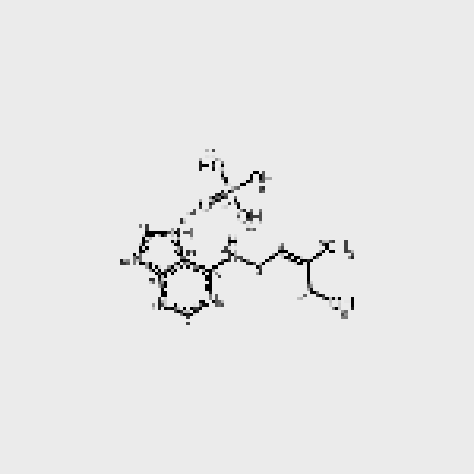 CC(=CCNc1ncnc2nc[nH]c12)CO.O=P(O)(O)O